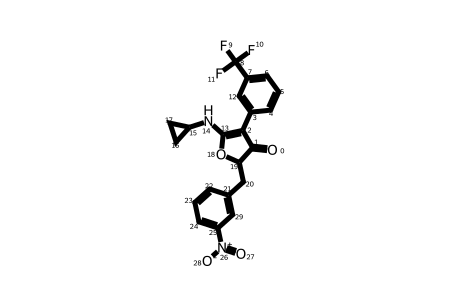 O=C1C(c2cccc(C(F)(F)F)c2)=C(NC2CC2)OC1Cc1cccc([N+](=O)[O-])c1